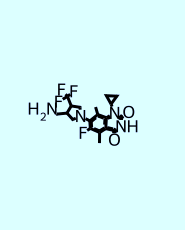 Cc1c(F)c(N2CC(CN)C(C(F)(F)F)C2)c(C)c2c1c(=O)[nH]c(=O)n2C1CC1